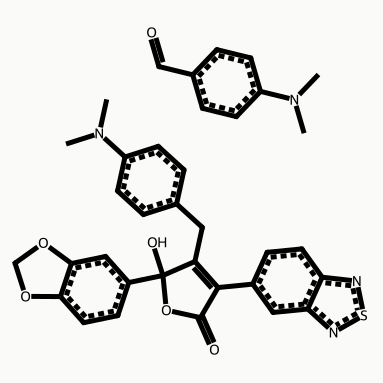 CN(C)c1ccc(C=O)cc1.CN(C)c1ccc(CC2=C(c3ccc4nsnc4c3)C(=O)OC2(O)c2ccc3c(c2)OCO3)cc1